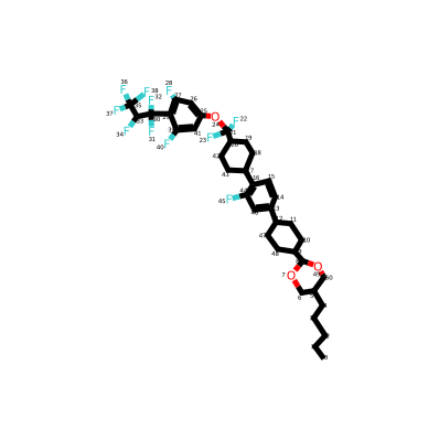 CCCCCC1COC(C2CCC(c3ccc(C4CCC(C(F)(F)Oc5cc(F)c(C(F)(F)C(F)C(F)(F)F)c(F)c5)CC4)c(F)c3)CC2)OC1